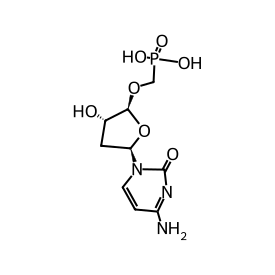 Nc1ccn([C@H]2C[C@H](O)[C@@H](OCP(=O)(O)O)O2)c(=O)n1